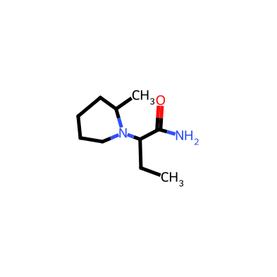 CCC(C(N)=O)N1CCCCC1C